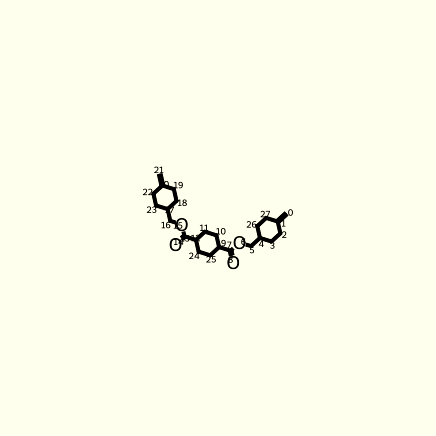 C=C1CCC(COC(=O)C2CCC(C(=O)OCC3CCC(=C)CC3)CC2)CC1